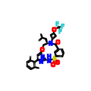 Cc1cccc(C)c1-c1cc2nc(n1)NS(=O)(=O)c1cccc(c1)C(=O)N(C1CC(OC(F)(F)F)C1)[C@H](CC(C)C)CO2